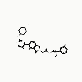 O=C(CN1Cc2ccc(-c3nc(NC4CC[C@H](O)[C@@H](F)C4)ncc3F)c(F)c2C1=O)NC1S[C@]1(CO)c1cccc(Cl)c1